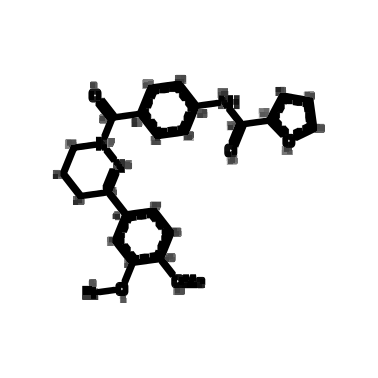 CCOc1cc(C2=NN(C(=O)c3ccc(NC(=O)c4ccco4)cc3)CCC2)ccc1OC